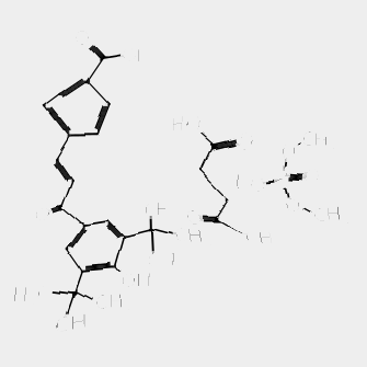 CC(=O)CCC(=O)O.CC(C)(C)c1cc(C(=O)C=Cc2ccc(C(=O)O)cc2)cc(C(C)(C)C)c1O.COP(=O)(O)OC